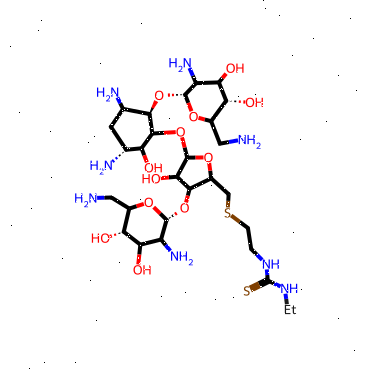 CCNC(=S)NCCSCC1OC(OC2C(O)[C@H](N)CC(N)[C@H]2O[C@H]2OC(CN)[C@@H](O)C(O)C2N)C(O)C1O[C@H]1OC(CN)[C@@H](O)C(O)C1N